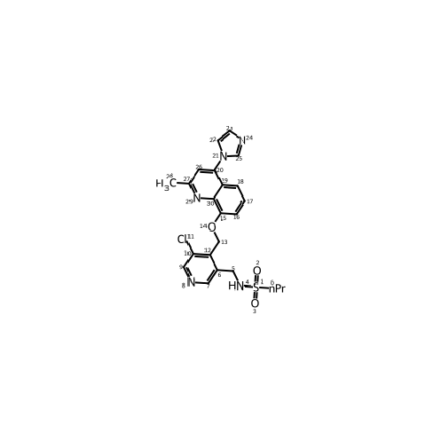 CCCS(=O)(=O)NCc1cncc(Cl)c1COc1cccc2c(-n3ccnc3)cc(C)nc12